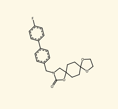 O=C1OC2(CCC3(CC2)OCCO3)CN1Cc1ccc(-c2ccc(F)cc2)cc1